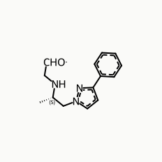 C[C@@H](Cn1ccc(-c2ccccc2)n1)NC[C]=O